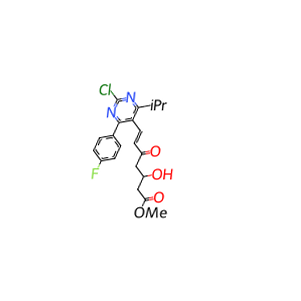 COC(=O)CC(O)CC(=O)C=Cc1c(-c2ccc(F)cc2)nc(Cl)nc1C(C)C